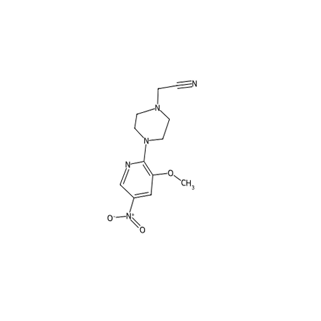 COc1cc([N+](=O)[O-])cnc1N1CCN(CC#N)CC1